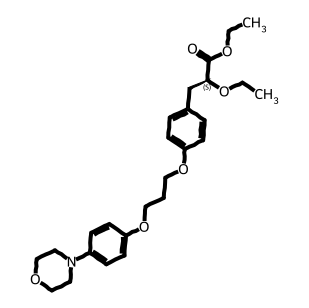 CCOC(=O)[C@H](Cc1ccc(OCCCOc2ccc(N3CCOCC3)cc2)cc1)OCC